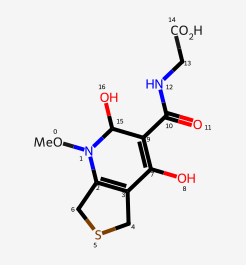 CON1C2=C(CSC2)C(O)=C(C(=O)NCC(=O)O)C1O